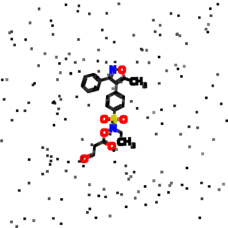 CCN(OC(=O)CC=O)S(=O)(=O)c1ccc(-c2c(-c3ccccc3)noc2C)cc1